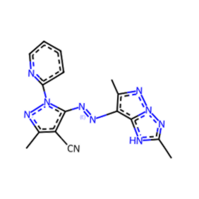 Cc1nn2nc(C)c(/N=N/c3c(C#N)c(C)nn3-c3ccccn3)c2[nH]1